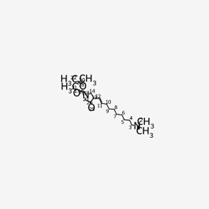 CN(C)CCCCCCCCC=CC1CN(C(=O)OC(C)(C)C)CC1=O